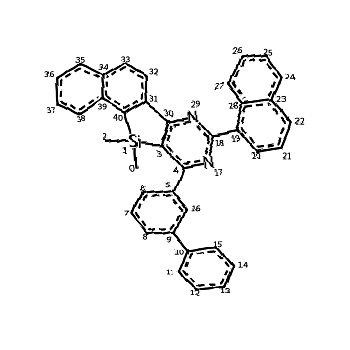 C[Si]1(C)c2c(-c3cccc(-c4ccccc4)c3)nc(-c3cccc4ccccc34)nc2-c2ccc3ccccc3c21